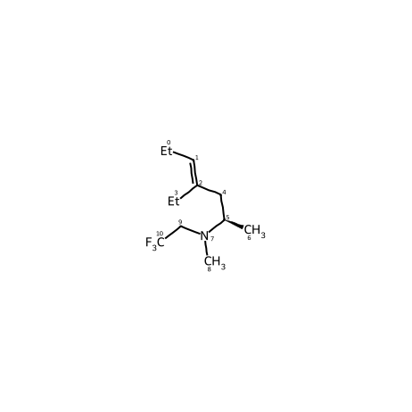 CC/C=C(\CC)C[C@@H](C)N(C)CC(F)(F)F